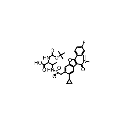 CNC(=O)c1c(-c2ccc(F)cc2)oc2cc(CS(=O)(=O)NC(C)C(NC(=O)OC(C)(C)C)C(=O)O)c(C3CC3)cc12